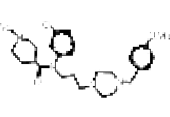 COc1ccc(CN2CCN(CCCN(C(=O)C3CCN(C(C)=O)CC3)c3cccc(Cl)c3)CC2)cc1